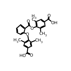 Cc1cc(C(=O)O)cc(C)c1OC(=O)c1ccccc1Oc1c(C)cc(C(=O)O)cc1C